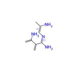 C=C(N)C(=C)/C(N)=N\C=C(\C)N